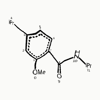 COc1cc(C(C)C)ccc1C(=O)NC(C)C